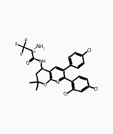 CC1(C)CC(NC(=O)[C@@H](N)C(F)(F)F)c2cc(-c3ccc(Cl)cc3)c(-c3ccc(Cl)cc3Cl)nc2O1